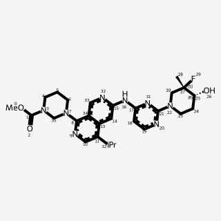 COC(=O)N1CCCN(c2ncc(C(C)C)c3cc(Nc4ccnc(N5CC[C@@H](O)[C@@](C)(F)C5)n4)ncc23)C1